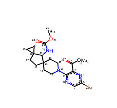 COC(=O)c1nc(Br)cnc1N1CCC2(CC1)CCC1(CC1)[C@H]2NC(=O)OC(C)(C)C